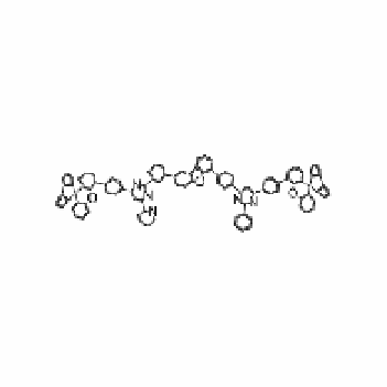 c1ccc(-c2nc(-c3ccc(-c4cccc5c4Oc4ccccc4C54c5ccccc5-c5ccccc54)cc3)cc(-c3ccc(-c4cccc5c4oc4ccc(-c6cccc(-c7nc(-c8ccc(-c9cccc%10c9Oc9ccccc9C%109c%10ccccc%10-c%10ccccc%109)cc8)cc(-c8ccccn8)n7)c6)cc45)cc3)n2)cc1